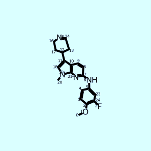 COc1ccc(Nc2ccc3c(C4CC=NCC4)cn(C)c3n2)cc1F